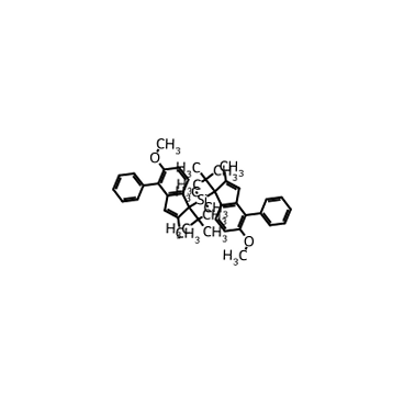 COc1ccc2c(c1-c1ccccc1)C=C(C)C2(C(C)(C)C)[Si](C)(C)C1(C(C)(C)C)C(C)=Cc2c1ccc(OC)c2-c1ccccc1